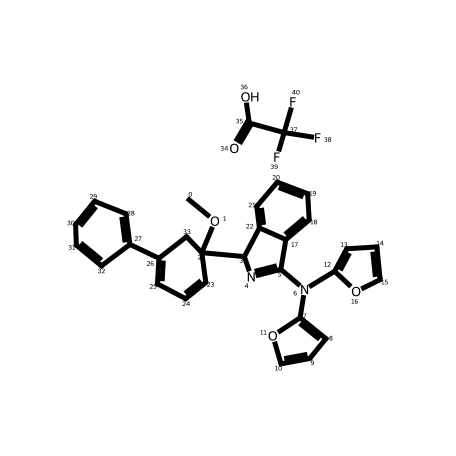 COC1(C2N=C(N(c3ccco3)c3ccco3)c3ccccc32)C=CC=C(c2ccccc2)C1.O=C(O)C(F)(F)F